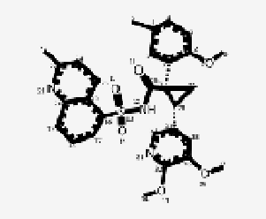 COc1ccc(C)cc1[C@]1(C(=O)NS(=O)(=O)c2cccc3nc(C)ccc23)C[C@@H]1c1cnc(OC)c(OC)c1